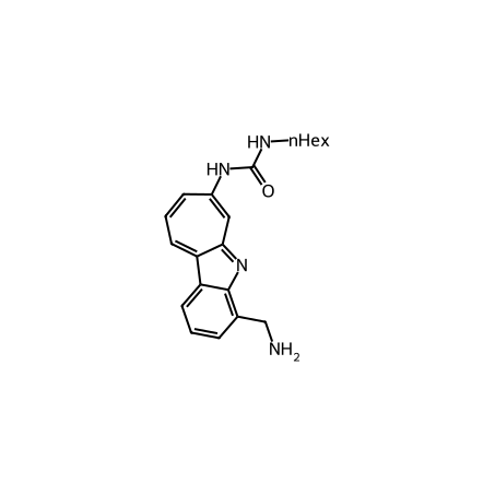 CCCCCCNC(=O)Nc1cccc2c3cccc(CN)c3nc-2c1